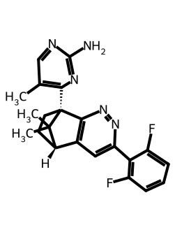 Cc1cnc(N)nc1[C@]12CC[C@@H](c3cc(-c4c(F)cccc4F)nnc31)C2(C)C